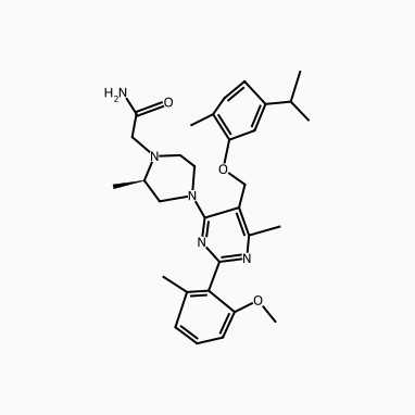 COc1cccc(C)c1-c1nc(C)c(COc2cc(C(C)C)ccc2C)c(N2CCN(CC(N)=O)[C@H](C)C2)n1